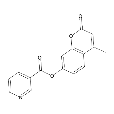 Cc1cc(=O)oc2cc(OC(=O)c3cccnc3)ccc12